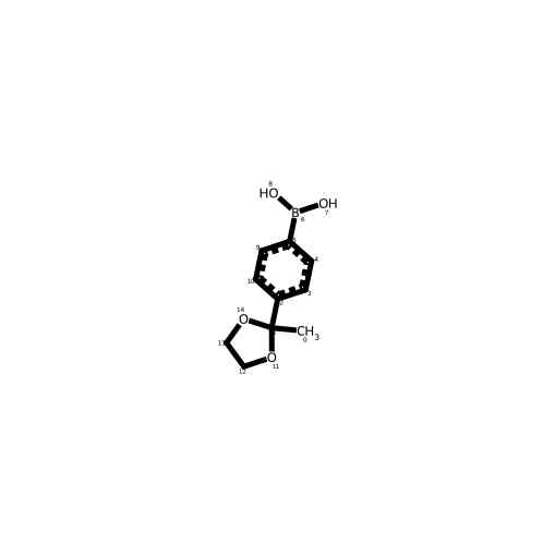 CC1(c2ccc(B(O)O)cc2)OCCO1